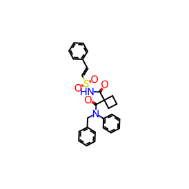 O=C(NS(=O)(=O)C=Cc1ccccc1)C1(C(=O)N(Cc2ccccc2)c2ccccc2)CCC1